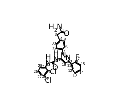 NC(=O)Cc1ccc(-n2nc(-c3ccccc3F)cc2NC(=O)Nc2cccc(Cl)c2Cl)cc1